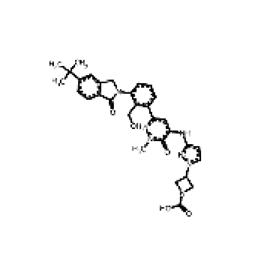 Cn1nc(-c2cccc(N3Cc4cc(C(C)(C)C)ccc4C3=O)c2CO)cc(Nc2ccn(C3CN(C(=O)O)C3)n2)c1=O